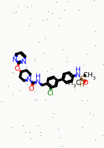 C[SH](C)(=O)Nc1ccc(-c2ccc(CNC(=O)N3CCC(Oc4ncccn4)CC3)c(Cl)c2)cc1